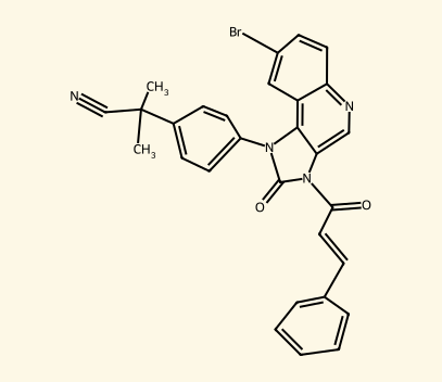 CC(C)(C#N)c1ccc(-n2c(=O)n(C(=O)C=Cc3ccccc3)c3cnc4ccc(Br)cc4c32)cc1